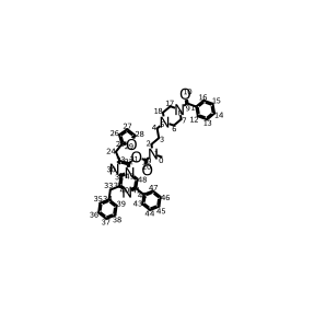 CN(CCCN1CCN(C(=O)c2ccccc2)CC1)C(=O)Oc1c(Cc2ccco2)nc2c(Cc3ccccc3)nc(-c3ccccc3)cn12